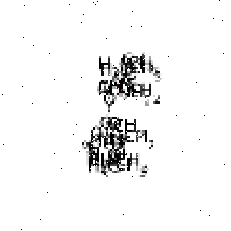 C=C1C[C@@H](CO[Si](C)(C)C(C)(C)C)N(C(=O)c2cc(OC)c(OCCCCCOc3cc(NC(=O)OCC4(SSCC)CCC4)c(C(=O)N4CC(=C)C[C@H]4CO[Si](C)(C)C(C)(C)C)cc3OC)cc2N)C1